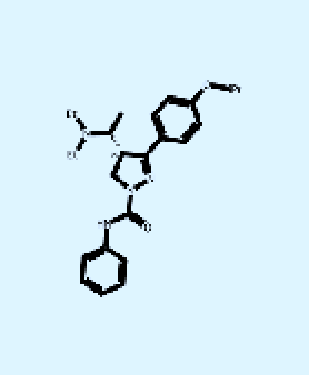 CCN(CC)C(C)[C@H]1CN(C(=O)Nc2ccccc2)N=C1c1ccc(OC(C)C)cc1